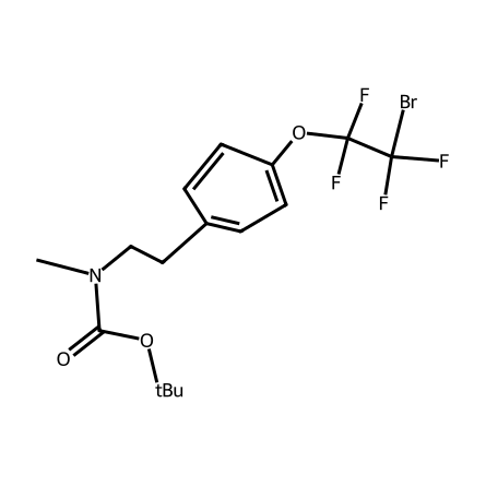 CN(CCc1ccc(OC(F)(F)C(F)(F)Br)cc1)C(=O)OC(C)(C)C